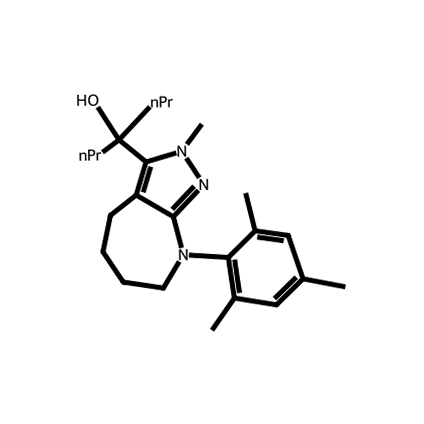 CCCC(O)(CCC)c1c2c(nn1C)N(c1c(C)cc(C)cc1C)CCCC2